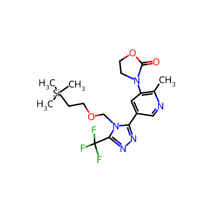 Cc1ncc(-c2nnc(C(F)(F)F)n2COCC[Si](C)(C)C)cc1N1CCOC1=O